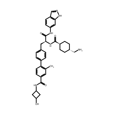 Cc1cc(C(=O)NC2CC(O)C2)ccc1-c1ccc(C[C@H](NC(=O)[C@H]2CC[C@H](CN)CC2)C(=O)Nc2ccc3cn[nH]c3c2)cc1